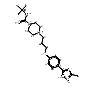 Cc1nc(-c2ccc(OCCCN3CCN(C(=O)OC(C)(C)C)CC3)cc2)no1